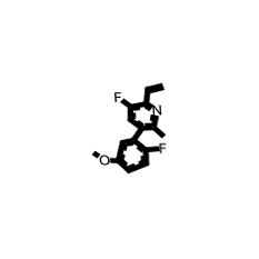 C=Cc1nc(C)c(-c2cc(OC)ccc2F)cc1F